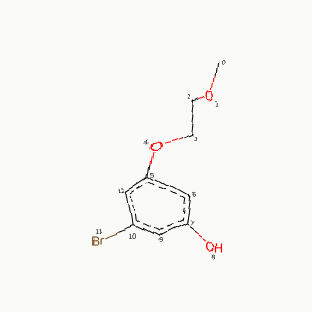 COCCOc1cc(O)cc(Br)c1